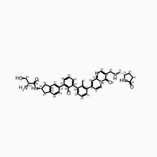 Cc1c(-c2ccn3c(=O)c(CNC[C@@H]4CCC(=O)N4)cnc3c2)cccc1-c1cccc(-c2ccc3c(c2)C[C@H](NC(=O)[C@@H](N)CO)C3)c1Cl